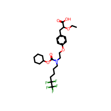 CCOC(Cc1ccc(OCCN(CCCCC(F)(F)C(F)(F)F)C(=O)OC2CCCCC2)cc1)C(=O)O